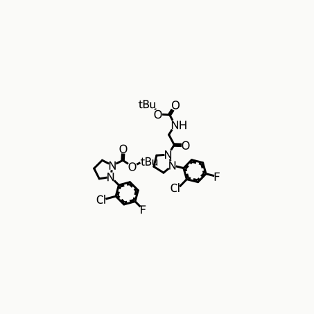 CC(C)(C)OC(=O)N1CCCN1c1ccc(F)cc1Cl.CC(C)(C)OC(=O)NCC(=O)N1CCCN1c1ccc(F)cc1Cl